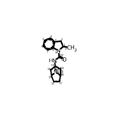 CC1Cc2ccccc2N1C(=O)NC1CC2CCC(C1)N2C